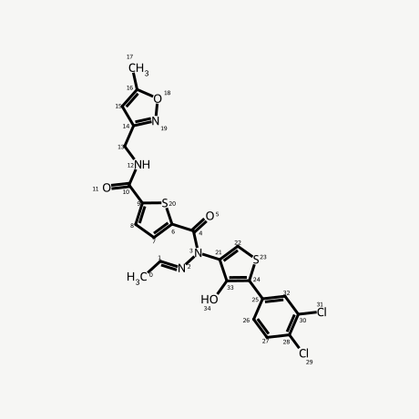 CC=NN(C(=O)c1ccc(C(=O)NCc2cc(C)on2)s1)c1csc(-c2ccc(Cl)c(Cl)c2)c1O